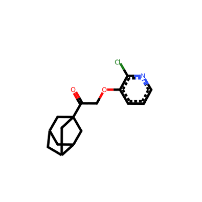 O=C(COc1cccnc1Cl)C12CC3CC(C1)C(C3)C2